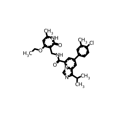 CCOc1cc(C)[nH]c(=O)c1CNC(=O)c1cc(-c2ccc(Cl)c(C)c2)cc2c(C(C)C)ncn12